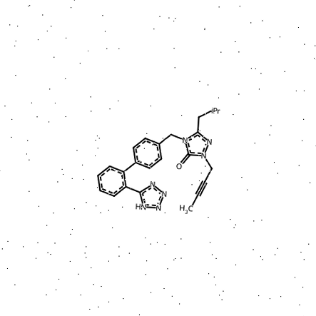 CC#CCn1nc(CC(C)C)n(Cc2ccc(-c3ccccc3-c3nnn[nH]3)cc2)c1=O